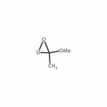 COC1(C)OO1